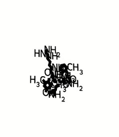 Cc1cccc(C)c1C[C@H](NC(=O)[C@H](CCCCN)NC(=O)[C@H](Cc1c(C)cc(O)cc1C)NC(=O)[C@H](N)CCCNC(=N)N)C(N)=O